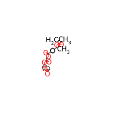 C=C(C)C(=O)OC(C)c1ccc(C(=O)OCC(=O)OC2C3CC4CC(C3)C(=O)OC2C4)cc1